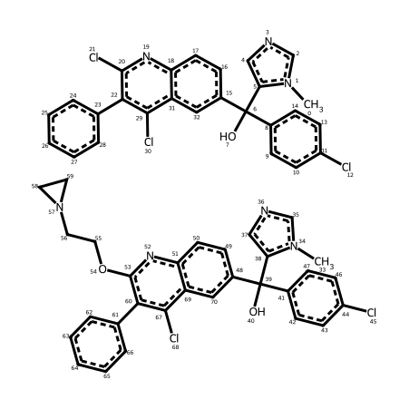 Cn1cncc1C(O)(c1ccc(Cl)cc1)c1ccc2nc(Cl)c(-c3ccccc3)c(Cl)c2c1.Cn1cncc1C(O)(c1ccc(Cl)cc1)c1ccc2nc(OCCN3CC3)c(-c3ccccc3)c(Cl)c2c1